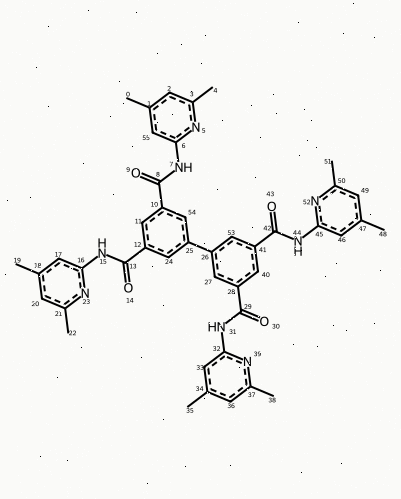 Cc1cc(C)nc(NC(=O)c2cc(C(=O)Nc3cc(C)cc(C)n3)cc(-c3cc(C(=O)Nc4cc(C)cc(C)n4)cc(C(=O)Nc4cc(C)cc(C)n4)c3)c2)c1